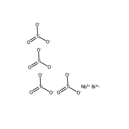 [Bi+3].[Nb+5].[O]=[Ti]([O-])[O-].[O]=[Ti]([O-])[O-].[O]=[Ti]([O-])[O-].[O]=[Ti]([O-])[O-]